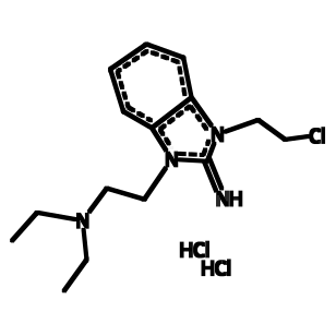 CCN(CC)CCn1c(=N)n(CCCl)c2ccccc21.Cl.Cl